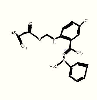 C=C(C)C(=O)OCNc1ccc(Cl)cc1/C(C)=N/N(C)c1ccccc1